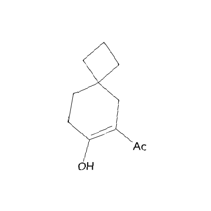 CC(=O)C1=C(O)CCC2(CCC2)C1